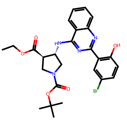 CCOC(=O)[C@@H]1CN(C(=O)OC(C)(C)C)C[C@H]1Nc1nc(-c2cc(Br)ccc2O)nc2ccccc12